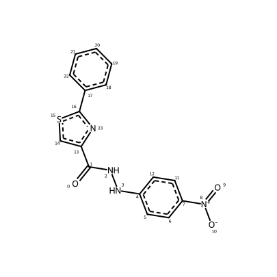 O=C(NNc1ccc([N+](=O)[O-])cc1)c1csc(-c2ccccc2)n1